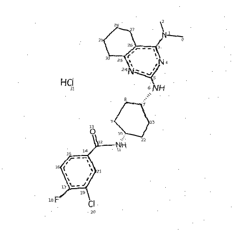 CN(C)c1nc(N[C@H]2CC[C@@H](NC(=O)c3ccc(F)c(Cl)c3)CC2)nc2c1CCCC2.Cl